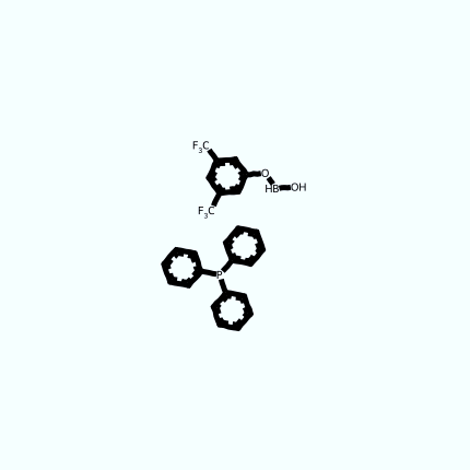 OBOc1cc(C(F)(F)F)cc(C(F)(F)F)c1.c1ccc(P(c2ccccc2)c2ccccc2)cc1